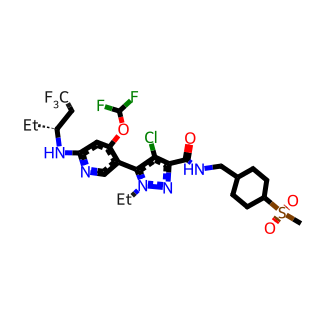 CC[C@H](CC(F)(F)F)Nc1cc(OC(F)F)c(-c2c(Cl)c(C(=O)NCC3CCC(S(C)(=O)=O)CC3)nn2CC)cn1